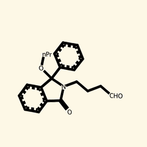 CCCOC1(c2ccccc2)c2ccccc2C(=O)N1CCCC=O